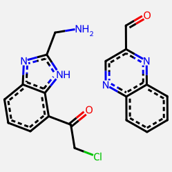 NCc1nc2cccc(C(=O)CCl)c2[nH]1.O=Cc1cnc2ccccc2n1